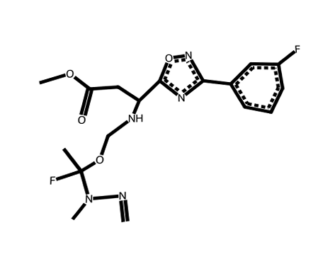 C=NN(C)C(C)(F)OCNC(CC(=O)OC)c1nc(-c2cccc(F)c2)no1